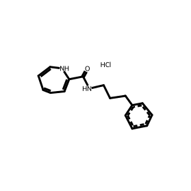 Cl.O=C(NCCCc1ccccc1)C1=CC=CC=CN1